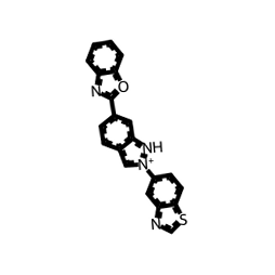 c1ccc2oc(-c3ccc4c[n+](-c5ccc6scnc6c5)[nH]c4c3)nc2c1